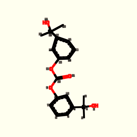 C[Si](C)(O)c1cccc(OC(=O)Oc2cccc([Si](C)(C)O)c2)c1